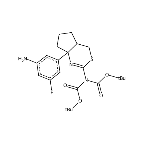 CC(C)(C)OC(=O)N(C(=O)OC(C)(C)C)C1=NC2(c3cc(N)cc(F)c3)CCCC2CS1